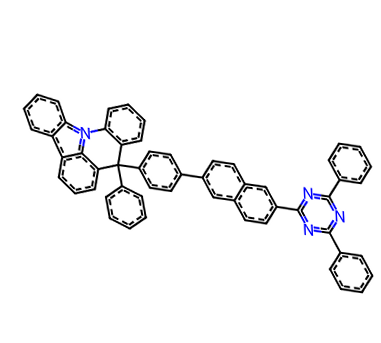 c1ccc(-c2nc(-c3ccccc3)nc(-c3ccc4cc(-c5ccc(C6(c7ccccc7)c7ccccc7-n7c8ccccc8c8cccc6c87)cc5)ccc4c3)n2)cc1